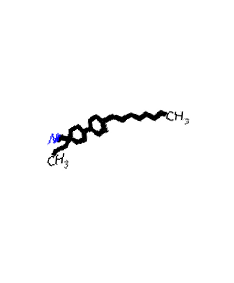 CCCCCCCCC1CCC(C2CCC(C#N)(CCC)CC2)CC1